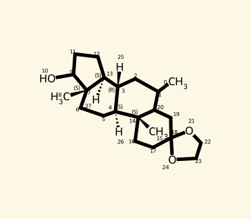 CC1C[C@@H]2[C@H](CC[C@]3(C)C(O)CC[C@@H]23)[C@@]2(C)CCC3(CC12)OCCO3